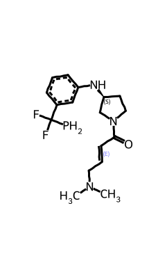 CN(C)C/C=C/C(=O)N1CC[C@H](Nc2cccc(C(F)(F)P)c2)C1